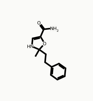 CC1(CCc2ccccc2)NC=C(C(N)=O)O1